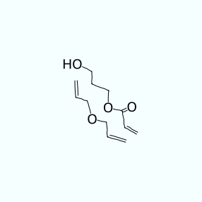 C=CC(=O)OCCCO.C=CCOCC=C